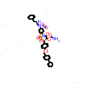 NC(=O)O[C@@H](Cc1ccc(OCc2ccc(-c3ccccc3)cc2)cc1)C(=O)N(c1ccc(NCCCc2ccccc2)c([N+](=O)[O-])c1)[SH](=O)=O